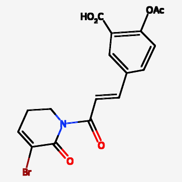 CC(=O)Oc1ccc(C=CC(=O)N2CCC=C(Br)C2=O)cc1C(=O)O